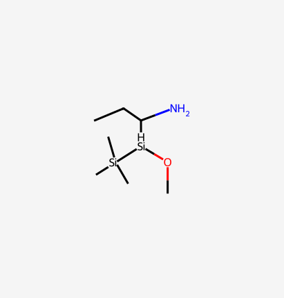 CCC(N)[SiH](OC)[Si](C)(C)C